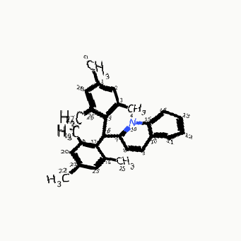 Cc1cc(C)c(C(c2ccc3ccccc3n2)c2c(C)cc(C)cc2C)c(C)c1